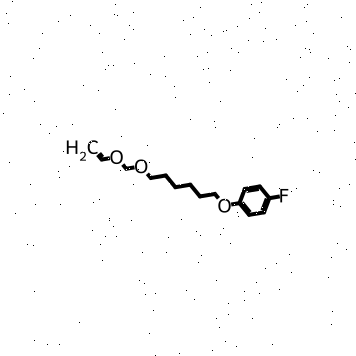 C=COCOCCCCCCOc1ccc(F)cc1